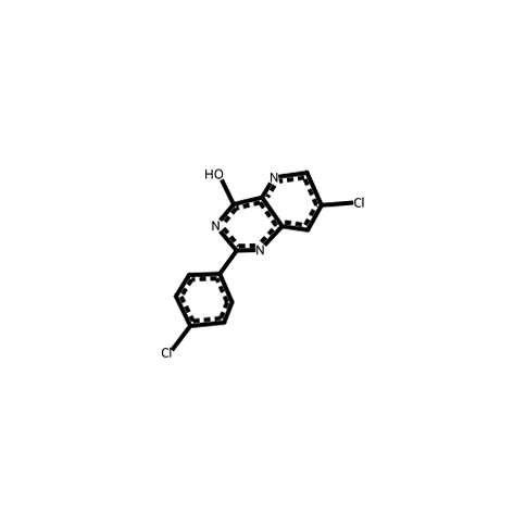 Oc1nc(-c2ccc(Cl)cc2)nc2cc(Cl)cnc12